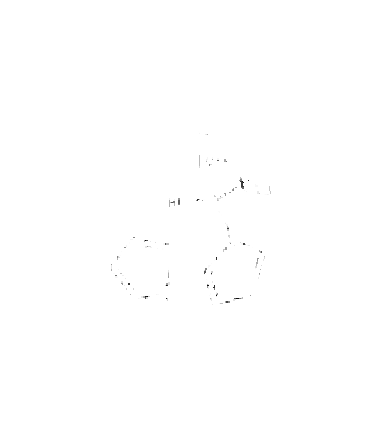 CC(C)(C)P([c-]1cccc1)C(C)(C)C.[Fe+2].[Pd].c1cc[cH-]c1